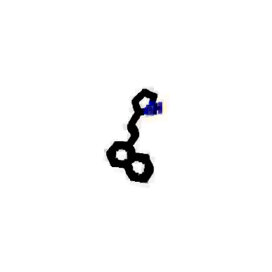 C(=CC1CCCN1)c1cccc2ccccc12